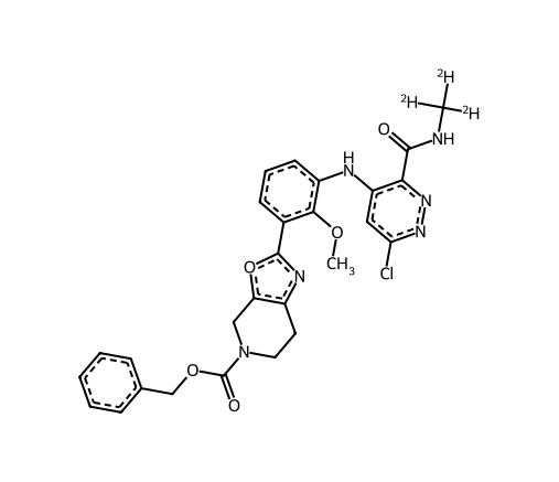 [2H]C([2H])([2H])NC(=O)c1nnc(Cl)cc1Nc1cccc(-c2nc3c(o2)CN(C(=O)OCc2ccccc2)CC3)c1OC